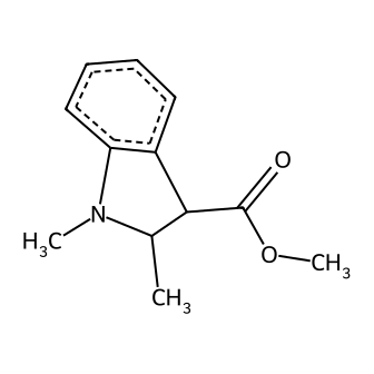 COC(=O)C1c2ccccc2N(C)C1C